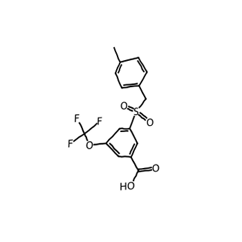 Cc1ccc(CS(=O)(=O)c2cc(OC(F)(F)F)cc(C(=O)O)c2)cc1